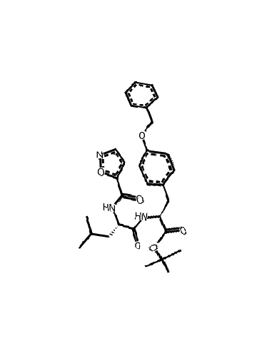 CC(C)C[C@H](NC(=O)c1ccno1)C(=O)N[C@@H](Cc1ccc(OCc2ccccc2)cc1)C(=O)OC(C)(C)C